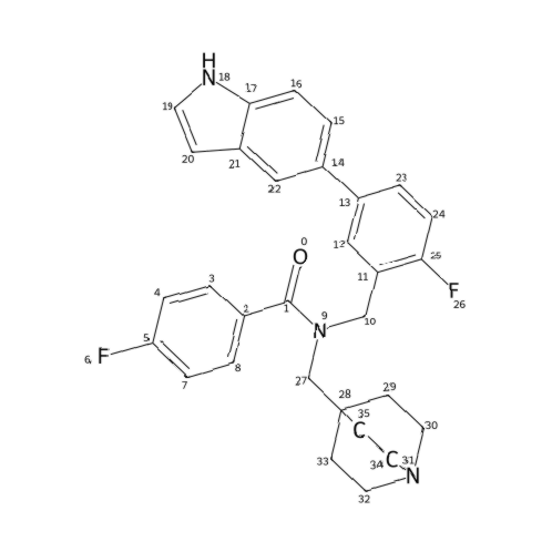 O=C(c1ccc(F)cc1)N(Cc1cc(-c2ccc3[nH]ccc3c2)ccc1F)CC12CCN(CC1)CC2